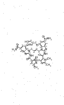 CCc1nc(C)n(C)c1C(=O)Nc1nc2cc(C(N)=O)cc(OCCCO)c2n1CC=CCn1c(NC(=O)c2cc(C)nn2CC)nc2cc(C(N)=O)cc(OC)c21